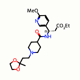 CCOC(=O)C[C@H](NC(=O)C1CCN(CCC2(C)OCCO2)CC1)c1ccc(OC)nc1